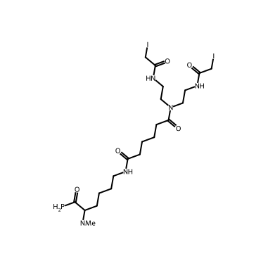 CNC(CCCCNC(=O)CCCCC(=O)N(CCNC(=O)CI)CCNC(=O)CI)C(=O)P